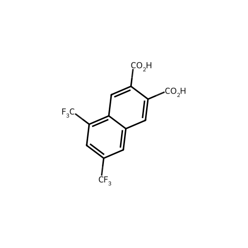 O=C(O)c1cc2cc(C(F)(F)F)cc(C(F)(F)F)c2cc1C(=O)O